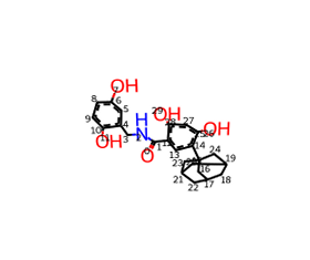 O=C(NCc1cc(O)ccc1O)c1cc(C23CC4CC(CC(C4)C2)C3)c(O)cc1O